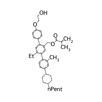 C=C(C)C(=O)OCc1cc(-c2ccc(C3CCC(CCCCC)CC3)cc2C)c(CC)cc1-c1ccc(OCCO)cc1